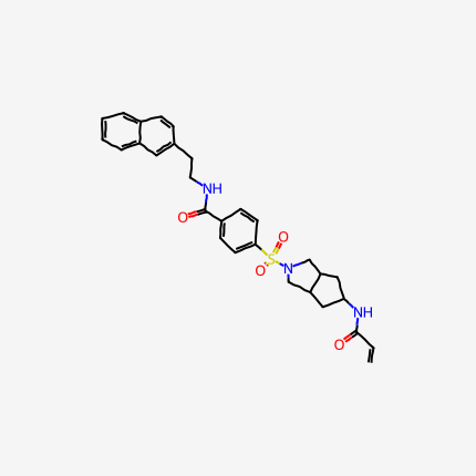 C=CC(=O)NC1CC2CN(S(=O)(=O)c3ccc(C(=O)NCCc4ccc5ccccc5c4)cc3)CC2C1